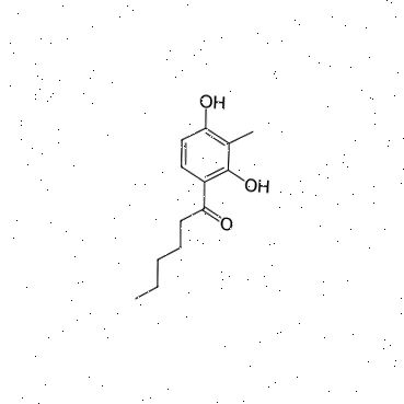 CCCCCC(=O)c1ccc(O)c(C)c1O